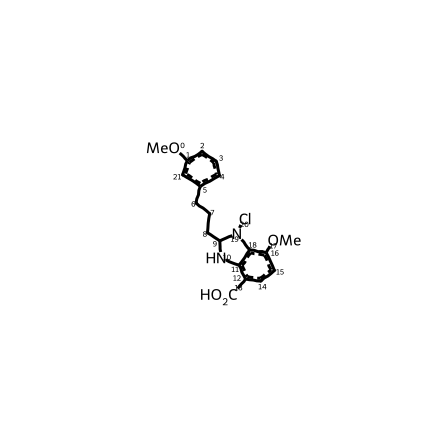 COc1cccc(CCCC2Nc3c(C(=O)O)ccc(OC)c3N2Cl)c1